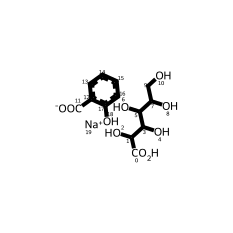 O=C(O)C(O)C(O)C(O)C(O)CO.O=C([O-])c1ccccc1O.[Na+]